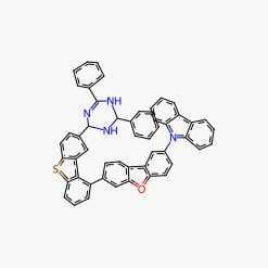 c1ccc(C2=NC(c3ccc4sc5cccc(-c6ccc7c(c6)oc6ccc(-n8c9ccccc9c9ccccc98)cc67)c5c4c3)NC(c3ccccc3)N2)cc1